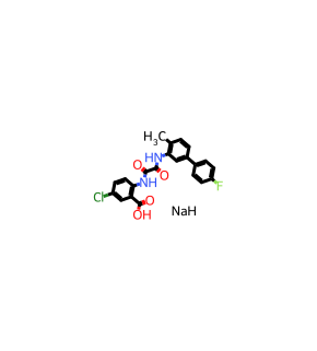 Cc1ccc(-c2ccc(F)cc2)cc1NC(=O)C(=O)Nc1ccc(Cl)cc1C(=O)O.[NaH]